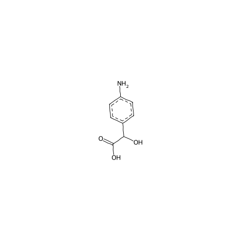 Nc1ccc(C(O)C(=O)O)cc1